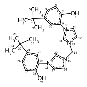 CC(C)(C)c1ccc(O)c(-n2cc[n+](C[n+]3ccn(-c4cc(C(C)(C)C)ccc4O)c3)c2)c1